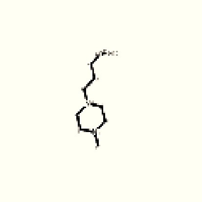 CCCCCCCCN1CCN(C)CC1